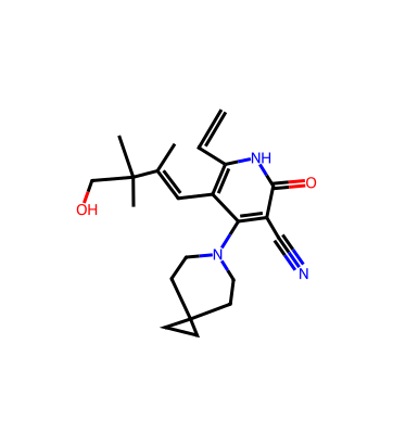 C=Cc1[nH]c(=O)c(C#N)c(N2CCC3(CC2)CC3)c1/C=C(\C)C(C)(C)CO